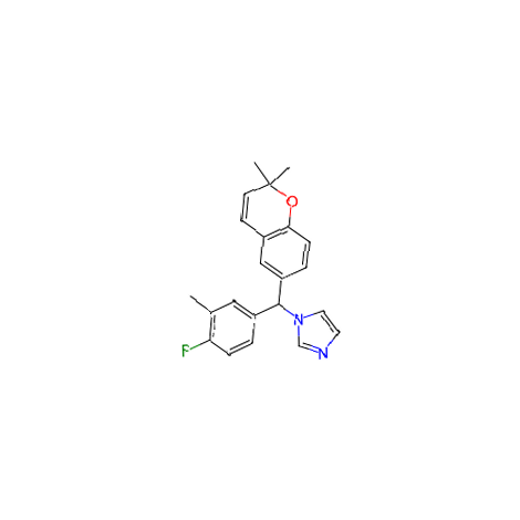 Cc1cc(C(c2ccc3c(c2)C=CC(C)(C)O3)n2ccnc2)ccc1F